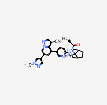 C#CC(=O)NC1(CCC)C2CCC1CN(c1ccc(-c3cc(-c4cnn(C)c4)cn4ncc(C#N)c34)cn1)C2